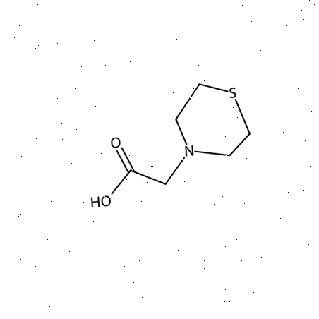 O=C(O)CN1CCSCC1